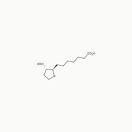 CCCCCCCC[C@H]1CCO[C@@H]1CCCCCCC(=O)O